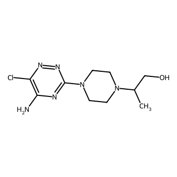 CC(CO)N1CCN(c2nnc(Cl)c(N)n2)CC1